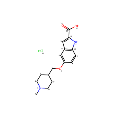 CN1CCC(COc2ccc3[nH]c(C(=O)O)cc3c2)CC1.Cl